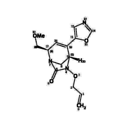 C=CCON1C(=O)N2C[C@@H]1C(c1cnco1)=C[C@@H]2COC